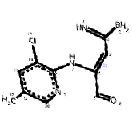 BC(=N)/C=C(/C=O)Nc1ncc(C)cc1Cl